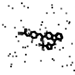 C[C@@H]1CN(CC(=O)N2CCc3c(n(Cc4ccc(C(F)(F)F)s4)c4ncccc34)C2)C[C@H](C)N1CC(=O)O